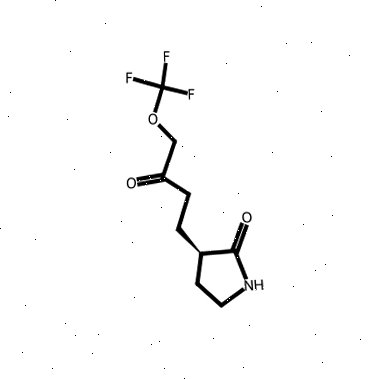 O=C(CC[C@@H]1CCNC1=O)COC(F)(F)F